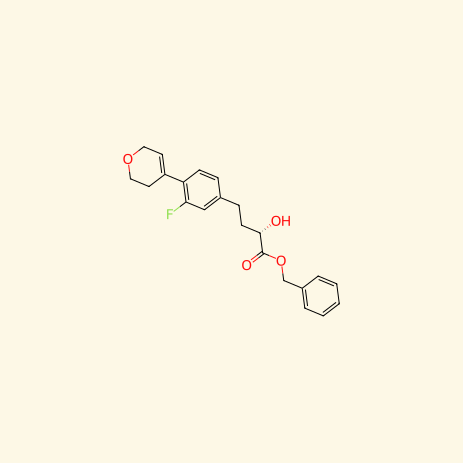 O=C(OCc1ccccc1)[C@@H](O)CCc1ccc(C2=CCOCC2)c(F)c1